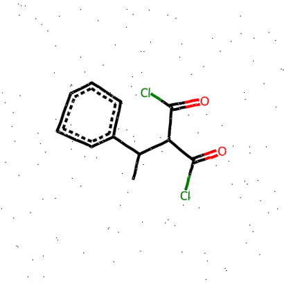 CC(c1ccccc1)C(C(=O)Cl)C(=O)Cl